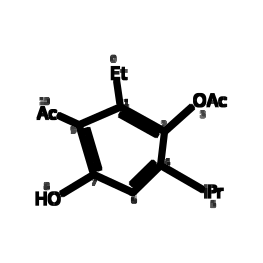 CCc1c(OC(C)=O)c(C(C)C)cc(O)c1C(C)=O